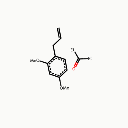 C=CCc1ccc(OC)cc1OC.CCC(=O)CC